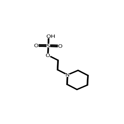 O=S(=O)(O)OCCN1CCCCC1